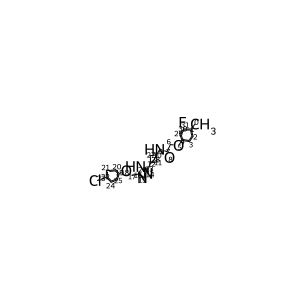 Cc1ccc(OCC(=O)NC23CC(c4nnc(COc5ccc(Cl)cc5)[nH]4)(C2)C3)cc1F